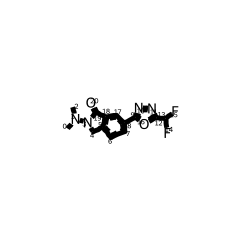 CN(C)N1Cc2ccc(-c3nnc(C(F)F)o3)cc2C1=O